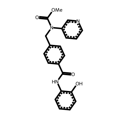 COC(=O)N(Cc1ccc(C(=O)Nc2ccccc2O)cc1)c1cccnc1